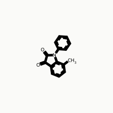 Cc1cccc2c1N(c1ccccc1)C(=O)C2=O